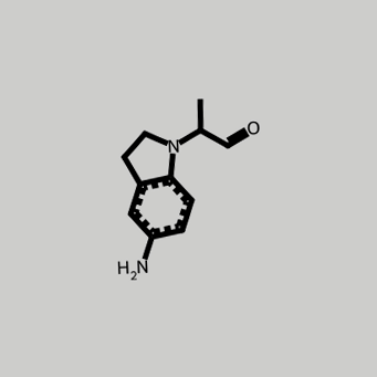 CC(C=O)N1CCc2cc(N)ccc21